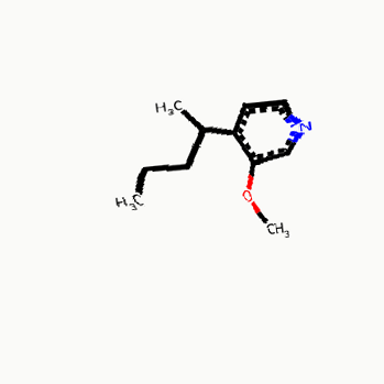 CCCC(C)c1ccncc1OC